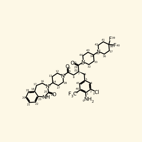 Nc1c(Cl)cc(C[C@@H](CC(=O)N2CCC(N3CCc4ccccc4NC3=O)CC2)C(=O)N2CCC(N3CCC(F)(F)CC3)CC2)cc1C(F)(F)F